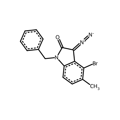 Cc1ccc2c(c1Br)C(=[N+]=[N-])C(=O)N2Cc1ccccc1